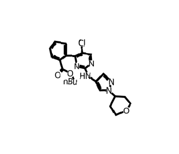 CCCCOC(=O)c1ccccc1-c1nc(Nc2cnn(C3CCOCC3)c2)ncc1Cl